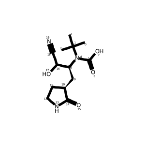 CC(C)(C)N(C(=O)O)[C@@H](C[C@@H]1CCNC1=O)C(O)C#N